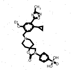 CCOc1cc(-c2nc(C)no2)c(C2CC2)cc1CN1CCC2(CC1)CN(c1ccc(P(=O)(O)O)cc1)C(=O)O2